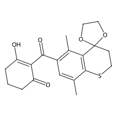 Cc1cc(C(=O)C2=C(O)CCCC2=O)c(C)c2c1SCCC21OCCO1